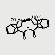 C=CCC1C2C=CC1C(C(=O)OC(=O)C1C3C=CC(C3CC=C)C1C(=O)O)C2C(=O)O